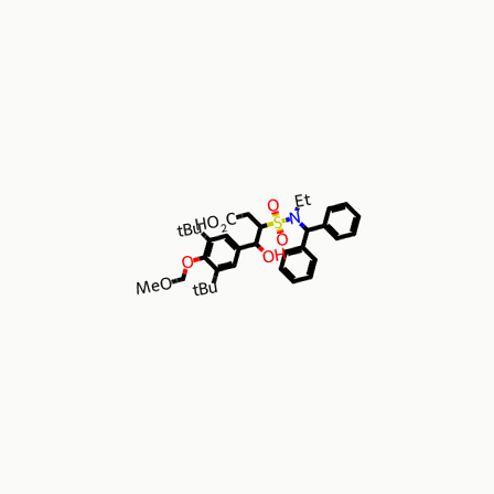 CCN(C(c1ccccc1)c1ccccc1)S(=O)(=O)C(CC(=O)O)C(O)c1cc(C(C)(C)C)c(OCOC)c(C(C)(C)C)c1